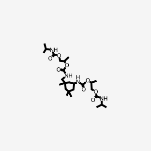 CC(C)NC(=O)OCC(C)OC(=O)NCC1(C)CC(NC(=O)OC(C)COC(=O)NC(C)C)CC(C)(C)C1